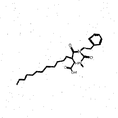 CCCCCCCCCCCCC(CC(=O)O)C(=O)N(CCc1ccccc1)C(=O)NC